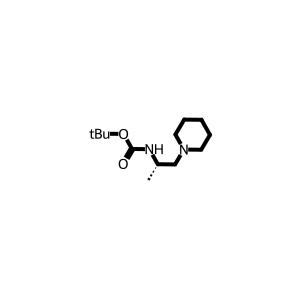 C[C@@H](CN1CCCCC1)NC(=O)OC(C)(C)C